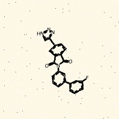 O=C1c2ccc(-c3c[nH]nn3)cc2C(=O)N1c1cccc(-c2cccc(F)c2)c1